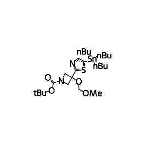 CCC[CH2][Sn]([CH2]CCC)([CH2]CCC)[c]1cnc(C2(OCOC)CN(C(=O)OC(C)(C)C)C2)s1